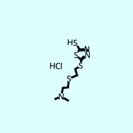 CN(C)CCSCCSc1nnc(S)s1.Cl